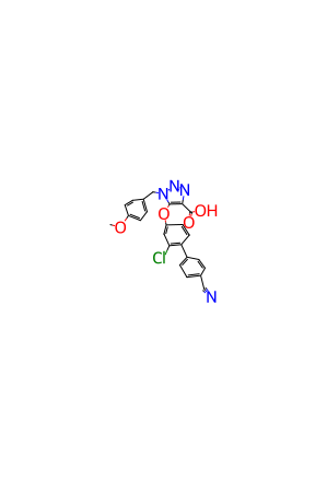 COc1ccc(Cn2nnc(C(=O)O)c2Oc2ccc(-c3ccc(C#N)cc3)c(Cl)c2)cc1